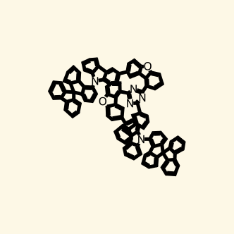 c1ccc(-c2cccc(-c3nc(-c4cccc5oc6ccc(-c7ccc8c(c7)c7ccccc7n8-c7cccc8c7-c7ccccc7C87c8ccccc8-c8ccccc87)cc6c45)nc(-c4cccc5oc6ccc(-c7ccc8c(c7)c7ccccc7n8-c7cccc8c7-c7ccccc7C87c8ccccc8-c8ccccc87)cc6c45)n3)c2)cc1